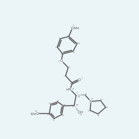 COc1ccc(OCCC(=O)N[C@H](CN2CCCC2)[C@H](O)c2ccc(OC)cc2)cc1